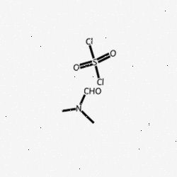 CN(C)C=O.O=S(=O)(Cl)Cl